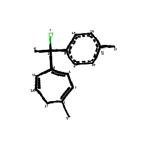 CC1=CC=C(C(C)(Cl)c2ccc(C)cc2)C=CC1